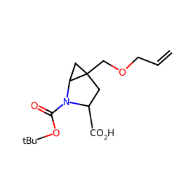 C=CCOCC12CC(C(=O)O)N(C(=O)OC(C)(C)C)C1C2